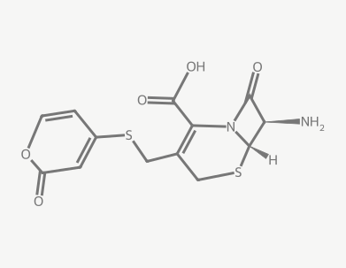 N[C@@H]1C(=O)N2C(C(=O)O)=C(CSc3ccoc(=O)c3)CS[C@@H]12